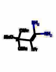 CCCC(=C(N)N)[Si](OC)(OC)OC